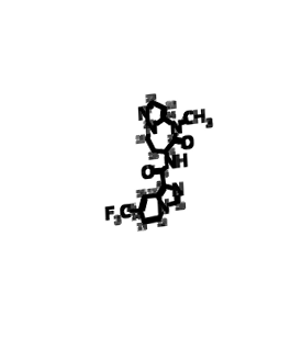 CN1C(=O)C(NC(=O)c2ncn3ccc(C(F)(F)F)cc23)CCn2nccc21